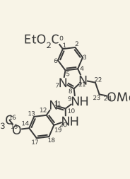 CCOC(=O)c1ccc2c(c1)nc(Nc1nc3cc(OC(F)(F)F)ccc3[nH]1)n2CCOC